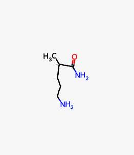 C[C](CCCN)C(N)=O